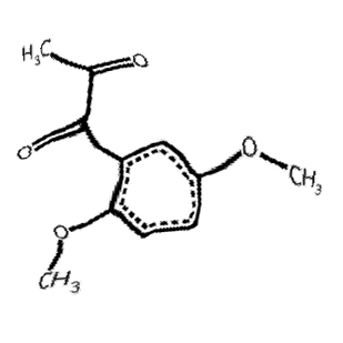 COc1ccc(OC)c(C(=O)C(C)=O)c1